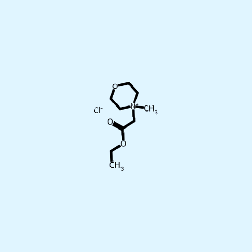 CCOC(=O)C[N+]1(C)CCOCC1.[Cl-]